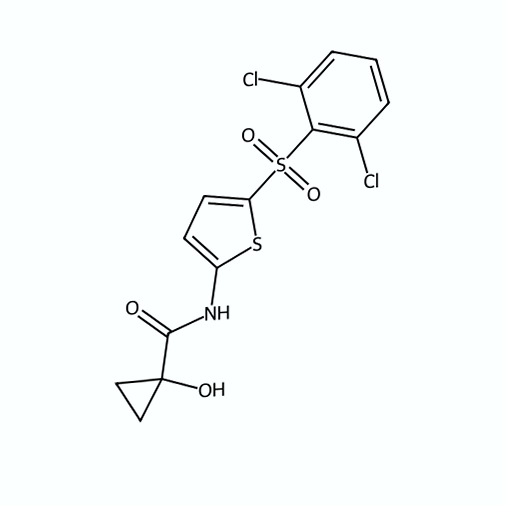 O=C(Nc1ccc(S(=O)(=O)c2c(Cl)cccc2Cl)s1)C1(O)CC1